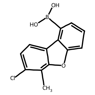 Cc1c(Cl)ccc2c1oc1cccc(B(O)O)c12